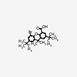 CC(C)(C)c1cc(Br)c2c(c1)C(C)(C)c1cc(C(C)(C)C)cc(C(=O)O)c1O2